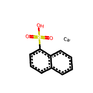 O=S(=O)(O)c1cccc2ccccc12.[Ca]